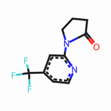 O=C1CCCN1c1cc(C(F)(F)F)ccn1